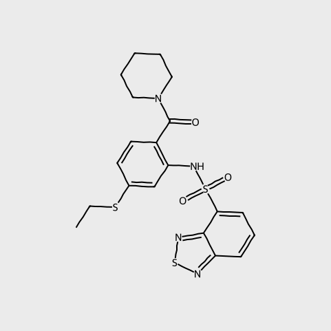 CCSc1ccc(C(=O)N2CCCCC2)c(NS(=O)(=O)c2cccc3nsnc23)c1